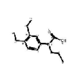 CCCN(C(=O)O)c1ccc(CC)c(CC)c1